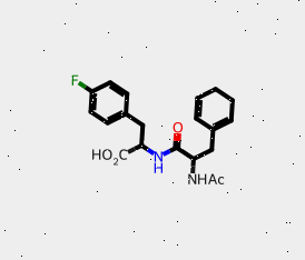 CC(=O)NC(CC1=CCCC=C1)C(=O)NC(Cc1ccc(F)cc1)C(=O)O